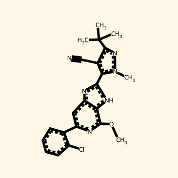 COc1nc(-c2ccccc2Cl)cc2nc(-c3c(C#N)c(C(C)(C)C)nn3C)[nH]c12